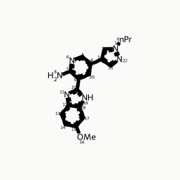 CCCn1cc(-c2cnc(N)c(-c3nc4ccc(OC)cc4[nH]3)c2)cn1